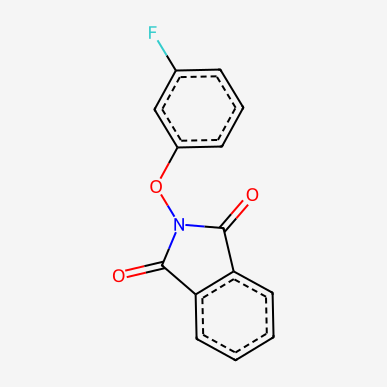 O=C1c2ccccc2C(=O)N1Oc1cccc(F)c1